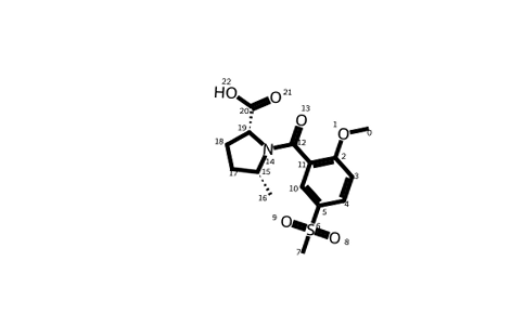 COc1ccc(S(C)(=O)=O)cc1C(=O)N1[C@H](C)CC[C@@H]1C(=O)O